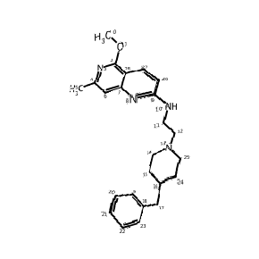 COc1nc(C)cc2nc(NCCN3CCC(Cc4ccccc4)CC3)ccc12